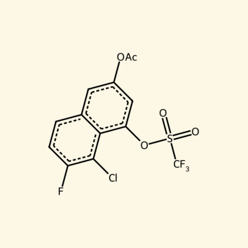 CC(=O)Oc1cc(OS(=O)(=O)C(F)(F)F)c2c(Cl)c(F)ccc2c1